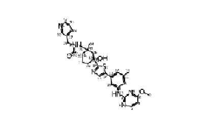 COc1ccnc(Nc2cc(C)cc(-c3cnc([C@@]4(O)CC[C@H](C(=O)NCc5cccnc5)C(C)(C)C4)s3)c2)n1